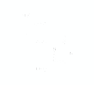 CCOC(=O)c1cnc2sc3cc(C)ccc3n12